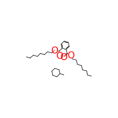 CC1CCCCC1.CCCCCCCCOC(=O)c1ccccc1C(=O)OCCCCCCCC